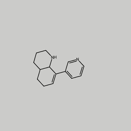 C1=C(c2cccnc2)C2NCCCC2CC1